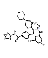 N/N=C(/Nc1cc(Cl)cc(Cl)c1)N(Cc1ccc(C(=O)Nc2nn[nH]n2)cc1)c1ccc(C2CCCCC2)cc1